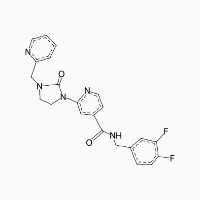 O=C(NCc1ccc(F)c(F)c1)c1ccnc(N2CCN(Cc3ccccn3)C2=O)c1